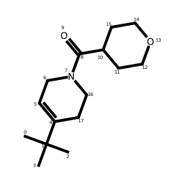 CC(C)(C)C1=CCN(C(=O)C2CCOCC2)CC1